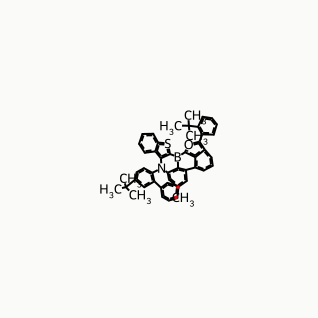 Cc1cc2c3c(c1)N(c1ccc(C(C)(C)C)cc1-c1ccccc1)c1c(sc4ccccc14)B3c1oc(-c3ccccc3C(C)(C)C)c3cccc-2c13